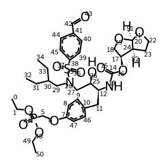 CCOP(=O)(COc1ccc(C[C@H](NC(=O)O[C@H]2CO[C@H]3OCC[C@H]32)[C@H](O)CN(CC(CC)CC)S(=O)(=O)c2ccc(C=O)cc2)cc1)OCC